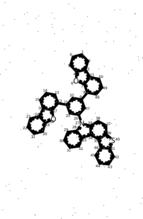 c1ccc2c(c1)oc1c(-c3cc(-c4cccc5c4oc4ccccc45)cc(-n4c5ccccc5c5c6c(ccc54)sc4ccccc46)c3)cccc12